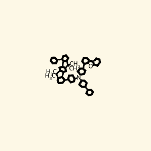 CC1(C)c2cc3c(cc2-c2c(-c4ccccc4)cccc21)C(C)(C)c1cccc(-c2ccc(N(c4ccc(-c5ccccc5)cc4)c4ccc(-c5cccc6c5oc5ccccc56)cc4)cc2)c1-3